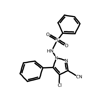 N#Cc1nn(NS(=O)(=O)c2ccccc2)c(-c2ccccc2)c1Cl